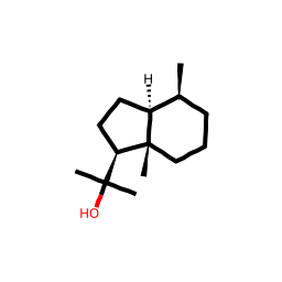 C[C@H]1CCC[C@]2(C)[C@@H](C(C)(C)O)CC[C@@H]12